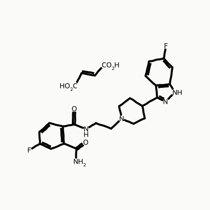 NC(=O)c1cc(F)ccc1C(=O)NCCN1CCC(c2n[nH]c3cc(F)ccc23)CC1.O=C(O)C=CC(=O)O